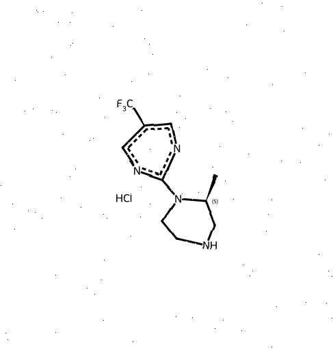 C[C@H]1CNCCN1c1ncc(C(F)(F)F)cn1.Cl